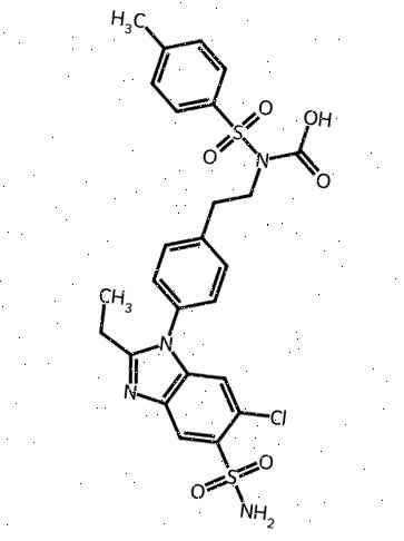 CCc1nc2cc(S(N)(=O)=O)c(Cl)cc2n1-c1ccc(CCN(C(=O)O)S(=O)(=O)c2ccc(C)cc2)cc1